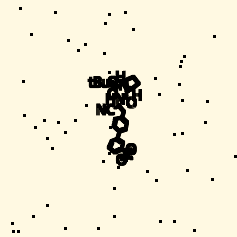 CC(C)(C)OC(=O)N1[C@@H]2CC[C@@H](C2)[C@H]1C(=O)N[C@H](C#N)Cc1ccc(-c2cccc(S(C)(=O)=O)c2)cc1